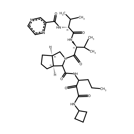 CCCC(NC(=O)C1[C@H]2CCC[C@H]2CN1C(=O)[C@@H](NC(=O)[C@H](NC(=O)c1cnccn1)C(C)C)C(C)C)C(=O)C(=O)NC1CCC1